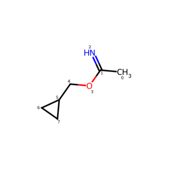 CC(=N)OCC1CC1